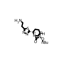 CCCCON1C(=O)N2C[C@@H]1CC[C@H]2c1nnc(CCN)s1